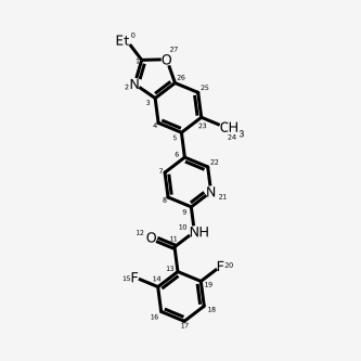 CCc1nc2cc(-c3ccc(NC(=O)c4c(F)cccc4F)nc3)c(C)cc2o1